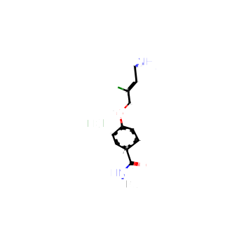 CC(C)(C)NC(=O)c1ccc(OCC(F)=CCN)cc1.Cl